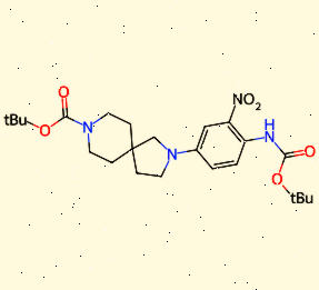 CC(C)(C)OC(=O)Nc1ccc(N2CCC3(CCN(C(=O)OC(C)(C)C)CC3)C2)cc1[N+](=O)[O-]